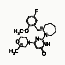 COc1ccc(F)cc1C[C@H]1CCCCCN1c1nc(N2CCO[C@H](C)C2)cc(=O)[nH]1